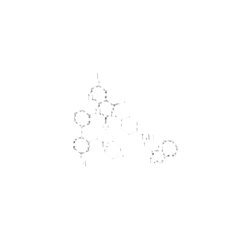 O=c1c2cc(F)cnc2n(-c2cccc(-c3ccc(O)cc3CN3CCOCC3)c2)c(=O)n1C1CCC(NCc2ncc3ccccn23)CC1